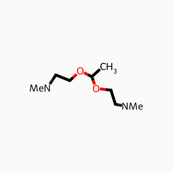 CNCCOC(C)OCCNC